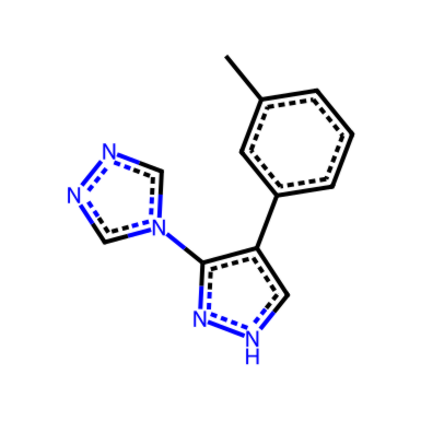 Cc1cccc(-c2c[nH]nc2-n2cnnc2)c1